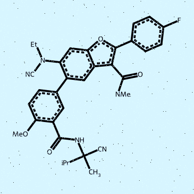 CCN(C#N)c1cc2oc(-c3ccc(F)cc3)c(C(=O)NC)c2cc1-c1ccc(OC)c(C(=O)NC(C)(C#N)C(C)C)c1